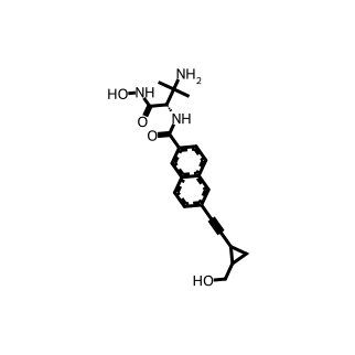 CC(C)(N)[C@H](NC(=O)c1ccc2cc(C#CC3CC3CO)ccc2c1)C(=O)NO